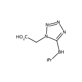 CC(C)Bc1nnnn1CC(=O)O